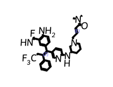 CN(C)C(=O)/C=C/CN1CCCC(Nc2ccc(/C(=C(/CC(F)(F)F)c3ccccc3)c3ccc(N)c(C(=N)F)c3)cn2)C1